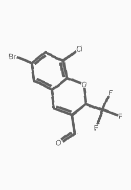 O=[C]C1=Cc2cc(Br)cc(Cl)c2OC1C(F)(F)F